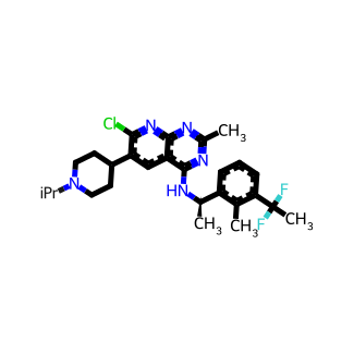 Cc1nc(N[C@H](C)c2cccc(C(C)(F)F)c2C)c2cc(C3CCN(C(C)C)CC3)c(Cl)nc2n1